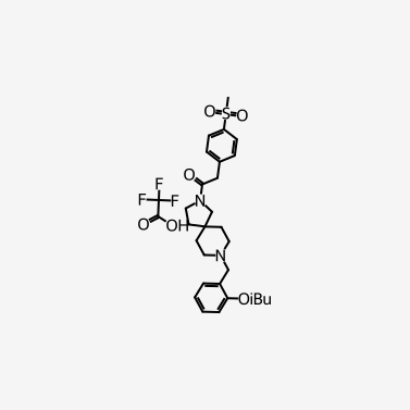 CC(C)COc1ccccc1CN1CCC2(CC1)CCN(C(=O)Cc1ccc(S(C)(=O)=O)cc1)C2.O=C(O)C(F)(F)F